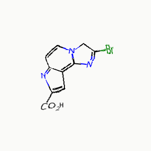 O=C(O)c1cc2c3n(ccc-2n1)CC(Br)=N3